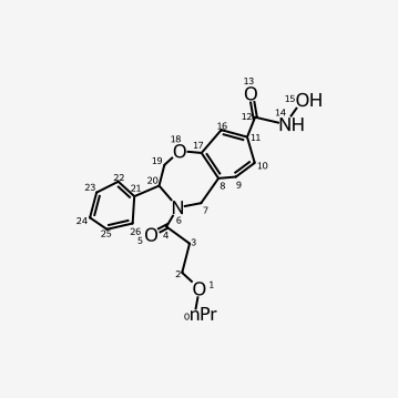 CCCOCCC(=O)N1Cc2ccc(C(=O)NO)cc2OCC1c1ccccc1